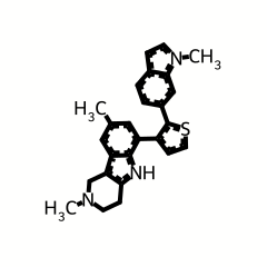 Cc1cc(-c2ccsc2-c2ccc3ccn(C)c3c2)c2[nH]c3c(c2c1)CN(C)CC3